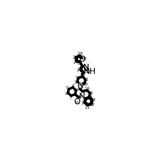 O=C(C1CCCCC1)N1c2ccccc2CCC1CN1CCC(c2cc(-c3ccco3)n[nH]2)CC1